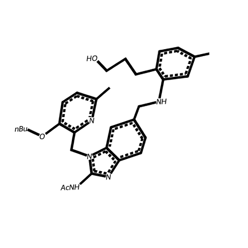 CCCCOc1ccc(C)nc1Cn1c(NC(C)=O)nc2ccc(CNc3cc(C)ccc3CCCO)cc21